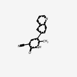 Cc1[nH]c(=O)c(C#N)cc1-c1ccc2ncccc2c1